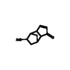 CC(=O)OC1CC2CC1C1C=CC(=O)C21